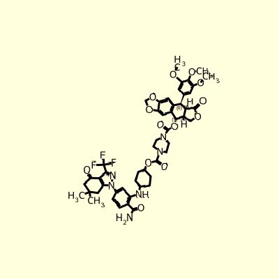 COc1cc([C@@H]2c3cc4c(cc3[C@@H](OC(=O)N3CCN(C(=O)OC5CCC(Nc6cc(-n7nc(C(F)(F)F)c8c7CC(C)(C)CC8=O)ccc6C(N)=O)CC5)CC3)[C@H]3COC(=O)[C@H]23)OCO4)cc(OC)c1OC